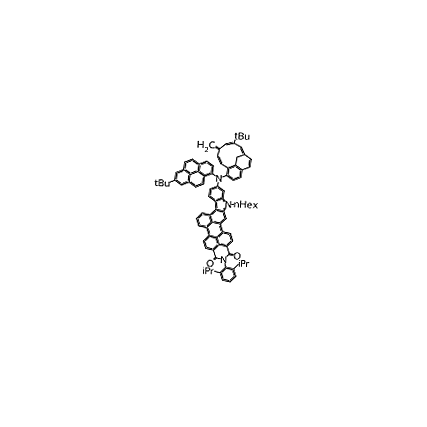 C=C1/C=C\c2c(N(c3ccc4c5c6cccc7c8ccc9c%10c(ccc(c(cc5n(CCCCCC)c4c3)c76)c%108)C(=O)N(c3c(C(C)C)cccc3C(C)C)C9=O)c3ccc4ccc5cc(C(C)(C)C)cc6ccc3c4c56)ccc3c2C/C(=C\C(C(C)(C)C)=C/1)C=C3